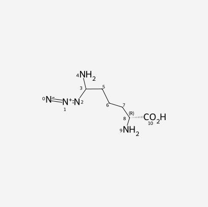 [N-]=[N+]=NC(N)CCC[C@@H](N)C(=O)O